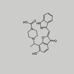 CC(c1c(O)ccc2c1O/C(=C\c1n[nH]c3ccccc13)C2=O)N1CCN(C(=O)O)CC1